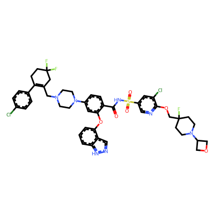 O=C(NS(=O)(=O)c1cnc(OCC2(F)CCN(C3COC3)CC2)c(Cl)c1)c1ccc(N2CCN(CC3=C(c4ccc(Cl)cc4)CCC(F)(F)C3)CC2)cc1Oc1cccc2[nH]ncc12